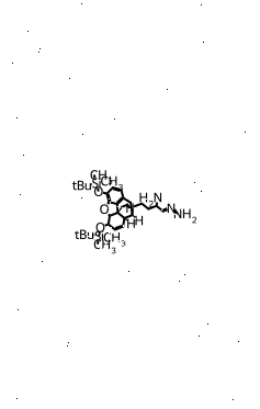 CC(C)(C)[Si](C)(C)Oc1ccc2c3c1OC1C(O[Si](C)(C)C(C)(C)C)C=C[C@H]4[C@@H](C2)N(CCC(N)C=NN)CC[C@]314